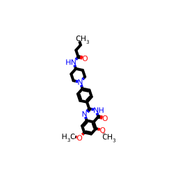 CCCC(=O)NC1CCN(c2ccc(-c3nc4cc(OC)cc(OC)c4c(=O)[nH]3)cc2)CC1